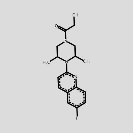 CC1CN(C(=O)CO)CC(C)N1c1ccc2cc(F)ccc2n1